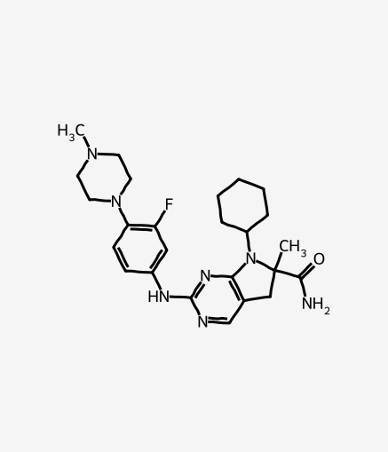 CN1CCN(c2ccc(Nc3ncc4c(n3)N(C3CCCCC3)C(C)(C(N)=O)C4)cc2F)CC1